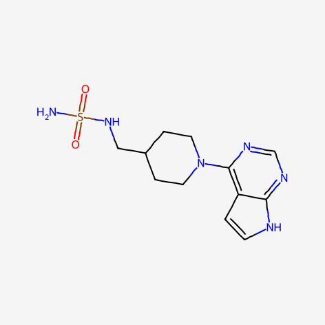 NS(=O)(=O)NCC1CCN(c2ncnc3[nH]ccc23)CC1